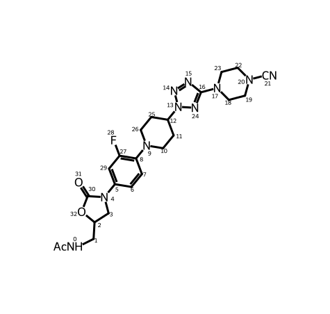 CC(=O)NCC1CN(c2ccc(N3CCC(n4nnc(N5CCN(C#N)CC5)n4)CC3)c(F)c2)C(=O)O1